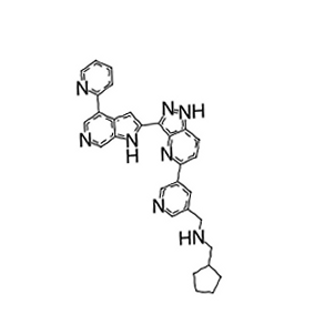 c1ccc(-c2cncc3[nH]c(-c4n[nH]c5ccc(-c6cncc(CNCC7CCCC7)c6)nc45)cc23)nc1